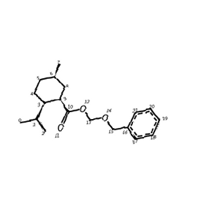 CC(C)[C@H]1CC[C@@H](C)C[C@H]1C(=O)OCOCc1ccccc1